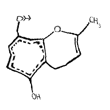 CC1=CCc2c(O)ccc(O)c2O1